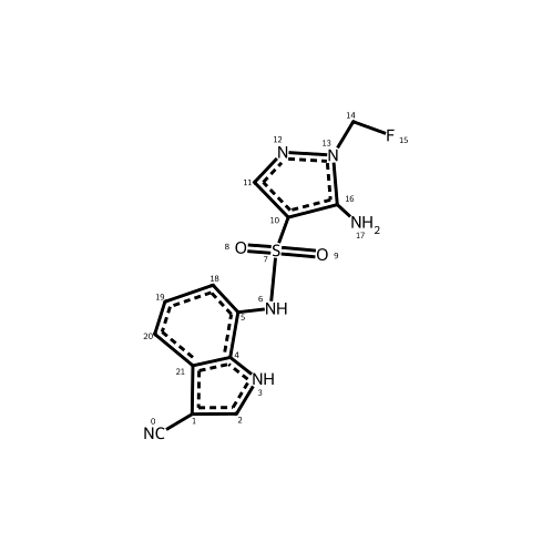 N#Cc1c[nH]c2c(NS(=O)(=O)c3cnn(CF)c3N)cccc12